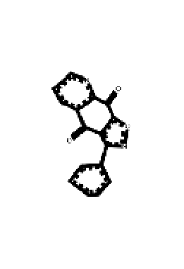 O=C1c2ncccc2C(=O)c2c(-c3ccccc3)noc21